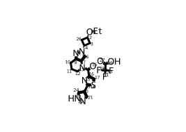 CCO[C@H]1C[C@H](n2cc3c(n2)CCCN3C(=O)c2csc(-c3cn[nH]c3)n2)C1.O=C(O)C(F)(F)F